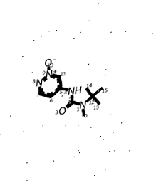 CN(C(=O)Nc1ccn[n+]([O-])c1)C(C)(C)C